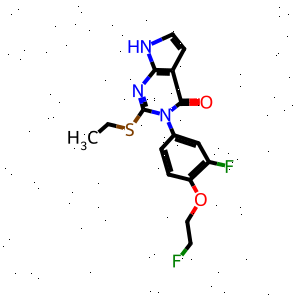 CCSc1nc2[nH]ccc2c(=O)n1-c1ccc(OCCF)c(F)c1